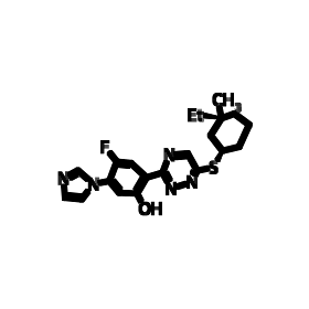 CC[C@@]1(C)CCC[C@@H](Sc2cnc(-c3cc(F)c(-n4ccnc4)cc3O)nn2)C1